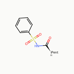 CCC[C@H](C)C(=O)NS(=O)(=O)c1ccccc1